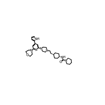 O=C(N[C@H]1CC[C@H](CCN2CCN(c3cc(-c4ccc[nH]4)cc(N4CCOCC4)n3)CC2)CC1)N1CCCCC1